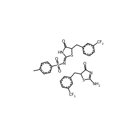 Cc1ccc(S(=O)(=O)/N=C2\NC(=O)C(Cc3cccc(C(F)(F)F)c3)S2)cc1.NC1=NC(=O)C(Cc2cccc(C(F)(F)F)c2)S1